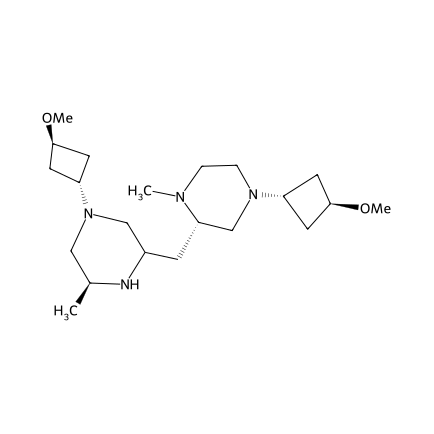 CO[C@H]1C[C@H](N2CCN(C)[C@@H](CC3CN([C@H]4C[C@H](OC)C4)C[C@H](C)N3)C2)C1